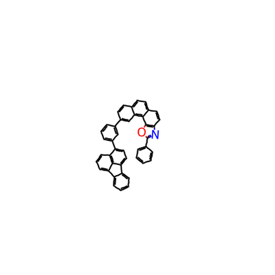 c1ccc(-c2nc3ccc4ccc5ccc(-c6cccc(-c7ccc8c9c(cccc79)-c7ccccc7-8)c6)cc5c4c3o2)cc1